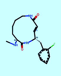 CN[C@H]1CCCCNC(=O)/C=C/[C@H](Cc2ccccc2F)NC1=O